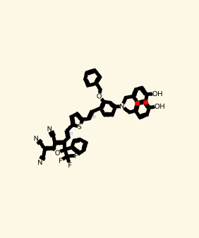 N#CC(C#N)=C1OC(c2ccccc2)(C(F)(F)F)C(/C=C/c2ccc(/C=C/c3ccc(N(Cc4ccc(O)cc4)Cc4ccc(O)cc4)cc3OCc3ccccc3)s2)=C1C#N